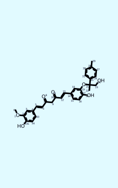 COc1cc(/C=C/C(=O)CC(=O)/C=C/c2ccc(O)c(OC(C)(CO)c3ccc(C)cc3)c2)ccc1O